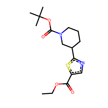 CCOC(=O)c1cnc(C2CCCN(C(=O)OC(C)(C)C)C2)s1